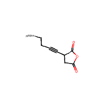 CCCCCCCCC#CC1CC(=O)OC1=O